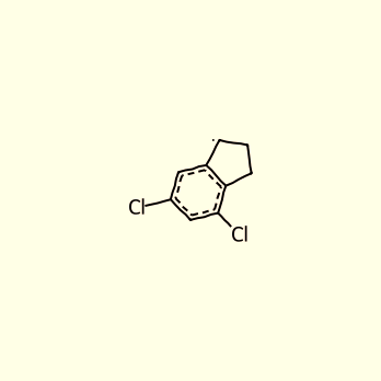 Clc1cc(Cl)c2c(c1)[CH]CC2